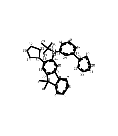 CC1(C)c2ccccc2-c2cc(N(c3cccc(-c4ccccc4)c3)C(C)(C)C)c(C3CCCC3)cc21